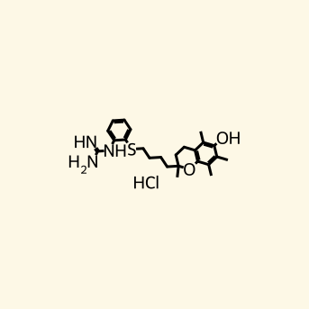 Cc1c(C)c2c(c(C)c1O)CCC(C)(CCCCSc1ccccc1NC(=N)N)O2.Cl